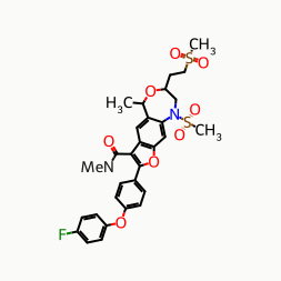 CNC(=O)c1c(-c2ccc(Oc3ccc(F)cc3)cc2)oc2cc3c(cc12)C(C)OC(CCS(C)(=O)=O)CN3S(C)(=O)=O